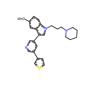 COc1ccc2c(c1)c(-c1cncc(-c3ccsc3)c1)cn2CCCN1CCCCC1